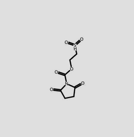 O=C1CCC(=O)N1C(=O)OCC[SH](=O)=O